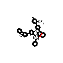 Cc1ccc(-c2ccc3c4ccccc4n(-c4ccc(-c5ccc6oc7ccccc7c6c5)cc4-c4nc(-c5ccccc5)nc(-c5ccccc5)n4)c3c2)c(C(F)(F)F)c1